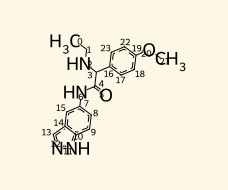 CCNC(C(=O)Nc1ccc2[nH]ncc2c1)c1ccc(OC)cc1